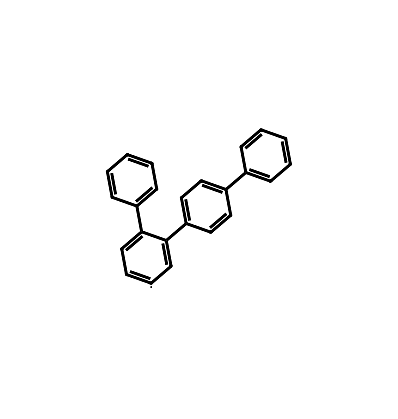 [c]1ccc(-c2ccccc2)c(-c2ccc(-c3ccccc3)cc2)c1